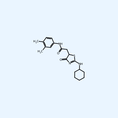 Cc1ccc(NC(=O)CC2SC(NC3CCCCC3)=NC2=O)cc1C